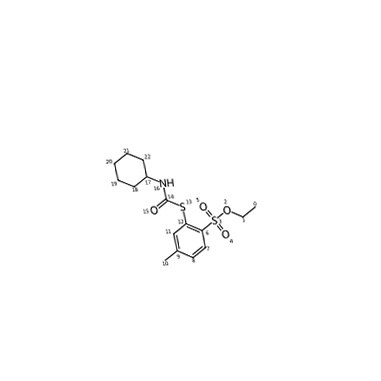 CCOS(=O)(=O)c1ccc(C)cc1SC(=O)NC1CCCCC1